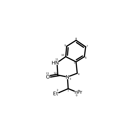 CCCC(CC)N1Cc2ccccc2NC1=O